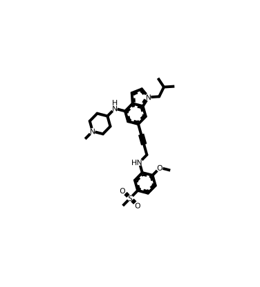 COc1ccc(S(C)(=O)=O)cc1NCC#Cc1cc(NC2CCN(C)CC2)c2ccn(CC(C)C)c2c1